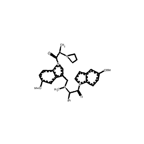 COc1ccc2c(ccn2C(=O)C(C(C)C)N(C)Cc2cn(C(=O)C(C)N3CCC3)c3ccc(OC)cc23)c1